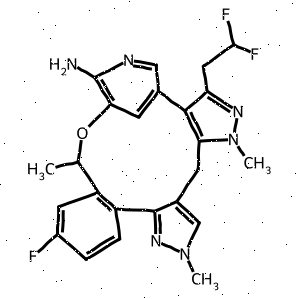 CC1Oc2cc(cnc2N)-c2c(CC(F)F)nn(C)c2Cc2cn(C)nc2-c2ccc(F)cc21